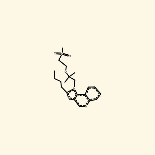 CCCCc1nc2cnc3ccccc3c2n1CC(C)(C)OCCS(C)(=O)=O